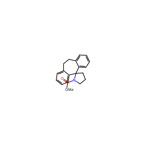 COC(=O)N1CCCC12c1ccccc1CCc1ccccc12